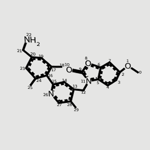 COc1ccc2c(c1)oc(=O)n2Cc1cc(-c2c(C)cc(CN)cc2C)ncc1C